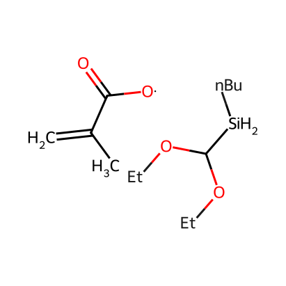 C=C(C)C([O])=O.CCCC[SiH2]C(OCC)OCC